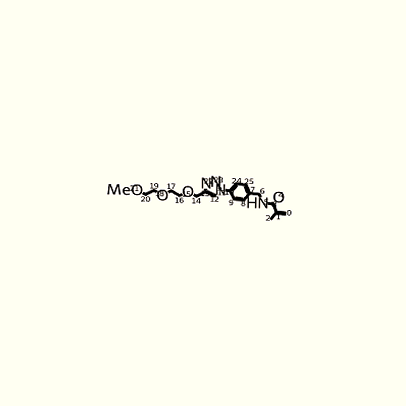 C=C(C)C(=O)NCc1ccc(-n2cc(COCCOCCOC)nn2)cc1